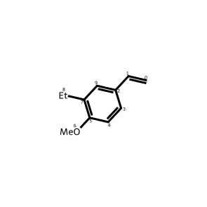 C=Cc1ccc(OC)c(CC)c1